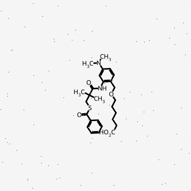 CN(C)c1ccc(COCCCCCC(=O)O)c(NC(=O)C(C)(C)CSC(=O)c2ccccc2)c1